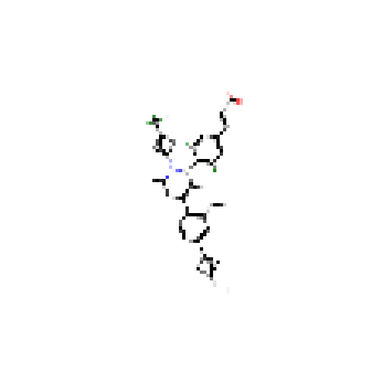 CCc1cc(C23CC(C)(C2)C3)ccc1C1=C(C)C(c2c(F)cc(/C=C/C(=O)O)cc2F)N(C23CC(C(F)(F)F)(C2)C3)C(C)C1